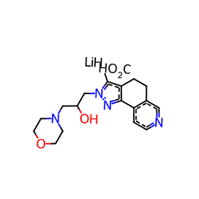 O=C(O)c1c2c(nn1CC(O)CN1CCOCC1)-c1ccncc1CC2.[LiH]